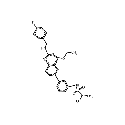 CCOc1nc(NCc2ccc(F)cc2)nc2ccc(-c3cccc(NS(=O)(=O)N(C)C)c3)nc12